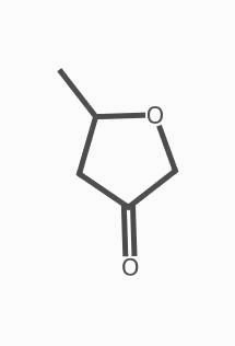 CC1CC(=O)CO1